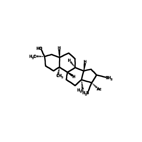 BC1C[C@H]2[C@@H]3CC[C@H]4C[C@](C)(O)CC[C@]4(C)[C@H]3CC[C@]2(C)[C@@]1(B)C(C)=O